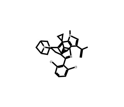 C=C(C)c1cn(C)c2cc(N3CC4CC(C3)N4CCC3=C(C4CC4)CN=C3c3c(Cl)cccc3Cl)ccc12